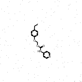 O=C(Nc1ccncc1)OCOc1ccc(CI)cc1